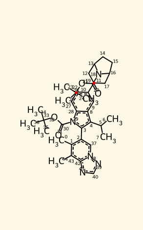 Cc1c(-c2c(C(C)C)c3cc(C4CC5CCC(C4)N5C(=O)OC(C)(C)C)ccc3n2C(=O)OC(C)(C)C)cn2ncnc2c1C